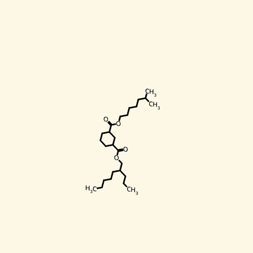 CCCCCC(CCC)COC(=O)C1CCCC(C(=O)OCCCCCC(C)C)C1